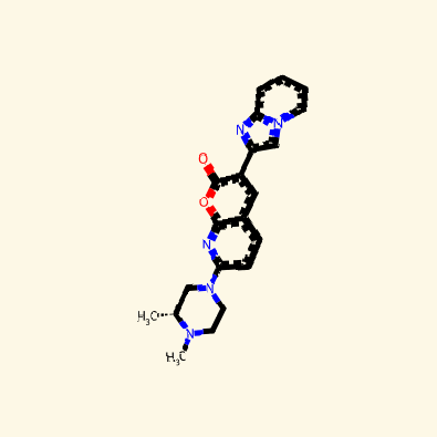 C[C@@H]1CN(c2ccc3cc(-c4cn5ccccc5n4)c(=O)oc3n2)CCN1C